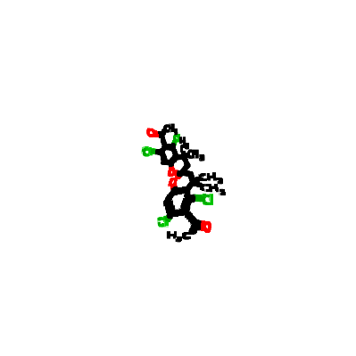 CC(=O)c1c(Cl)cc2c(c1Cl)C(C)(C)CC1(CC(C)(C)c3c(cc(Cl)c(C(C)=O)c3Cl)O1)O2